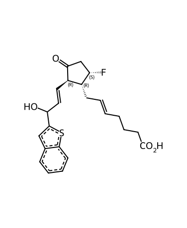 O=C(O)CCCC=CC[C@H]1[C@@H](F)CC(=O)[C@@H]1C=CC(O)c1cc2ccccc2s1